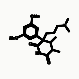 COc1cc(OC)cc(C2(CCCN(C)C)C(=O)NC(=O)C(C)C2C)c1